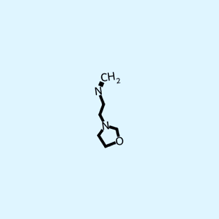 C=NCCN1CCOC1